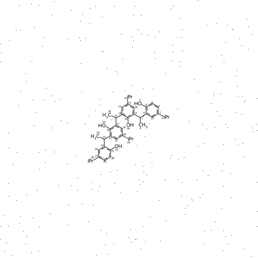 CC(C)c1ccc(O)c(C(C)c2cc(C(C)C)cc(C(C)c3cc(C(C)C)cc(C(C)c4cc(C(C)C)ccc4O)c3O)c2O)c1